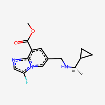 COC(=O)c1cc(CN[C@@H](C)C2CC2)cn2c(F)cnc12